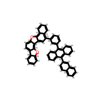 c1cc(-c2c3ccccc3c(-c3ccc4ccccc4c3)c3ccccc23)cc(-c2cc3c(oc4ccc5c6ccccc6oc5c43)c3ccccc23)c1